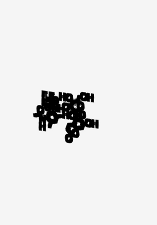 CC(=O)Nc1cc(NS(=O)(=O)C(F)(F)F)c(C)cc1C.O=c1ccc2cc(O[C@@H]3O[C@H](CO)[C@@H](O)[C@H](O)[C@H]3O)c(O)cc2o1